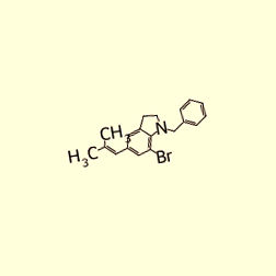 CC(C)=Cc1cc(Br)c2c(c1)CCN2Cc1ccccc1